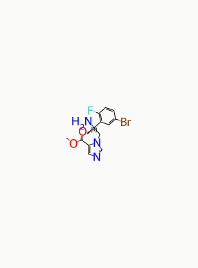 COC(=O)c1cncn1C[C@](C)(N)c1cc(Br)ccc1F